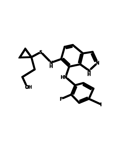 OCCC1(SNc2ccc3cn[nH]c3c2Nc2ccc(I)cc2F)CC1